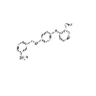 O=Cc1cnccc1Sc1ccc(OCc2cccc(C(=O)O)c2)cc1